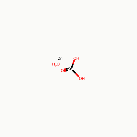 O.[O]=[Sn]([OH])[OH].[Zn]